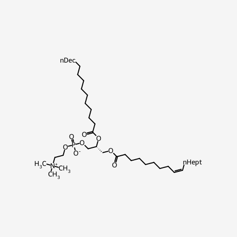 CCCCCCC/C=C\CCCCCCCC(=O)OC[C@H](COP(=O)([O-])OCC[N+](C)(C)C)OC(=O)CCCCCCCCCCCCCCCCCCC